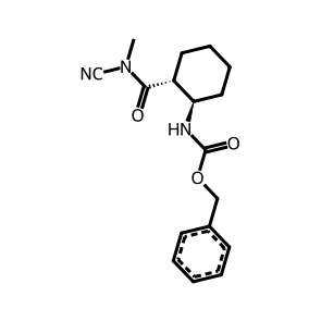 CN(C#N)C(=O)[C@@H]1CCCC[C@H]1NC(=O)OCc1ccccc1